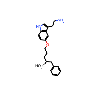 NCCc1c[nH]c2ccc(OCCCC(Cc3ccccc3)C(=O)O)cc12